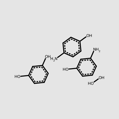 Nc1ccc(O)cc1.Nc1cccc(O)c1.OO.Oc1cccc(O)c1